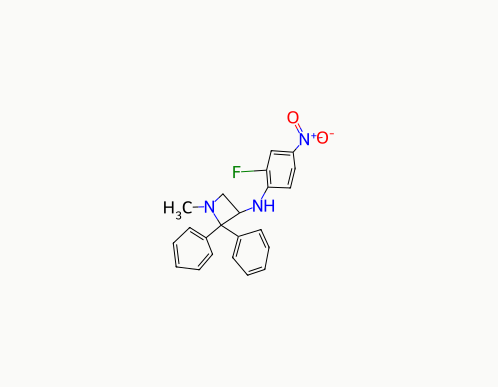 CN1CC(Nc2ccc([N+](=O)[O-])cc2F)C1(c1ccccc1)c1ccccc1